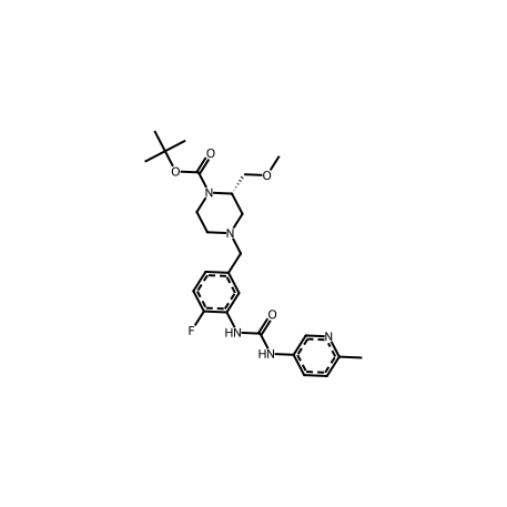 COC[C@@H]1CN(Cc2ccc(F)c(NC(=O)Nc3ccc(C)nc3)c2)CCN1C(=O)OC(C)(C)C